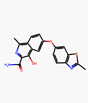 Cc1nc2ccc(Oc3ccc4c(C)nc(C(N)=O)c(O)c4c3)cc2s1